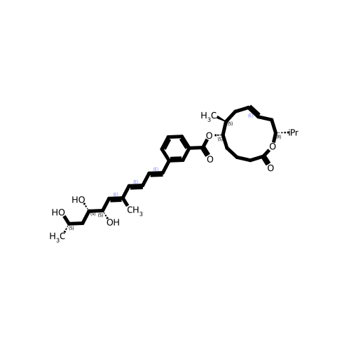 CC(/C=C/C=C/c1cccc(C(=O)O[C@H]2CCCC(=O)O[C@@H](C(C)C)C/C=C/C[C@@H]2C)c1)=C\[C@H](O)[C@@H](O)C[C@H](C)O